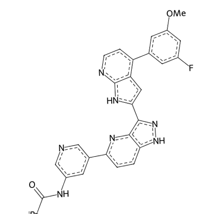 COc1cc(F)cc(-c2ccnc3[nH]c(-c4n[nH]c5ccc(-c6cncc(NC(=O)C(C)C)c6)nc45)cc23)c1